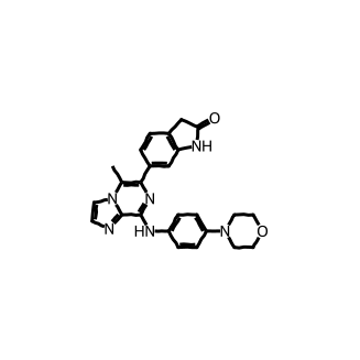 Cc1c(-c2ccc3c(c2)NC(=O)C3)nc(Nc2ccc(N3CCOCC3)cc2)c2nccn12